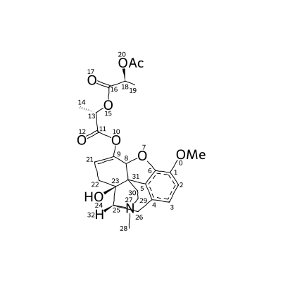 COc1ccc2c3c1OC1C(OC(=O)[C@H](C)OC(=O)[C@H](C)OC(C)=O)=CC[C@@]4(O)[C@@H](C2)N(C)CCC314